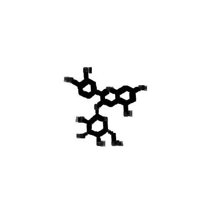 CC(=O)OC[C@H]1O[C@@H](Oc2cc3c(O)cc(O)cc3[o+]c2-c2ccc(O)c(O)c2)[C@H](O)[C@@H](O)[C@@H]1O